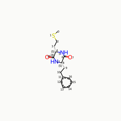 CSCC[C@@H]1NC(=O)[C@H](CCc2ccccc2)NC1=O